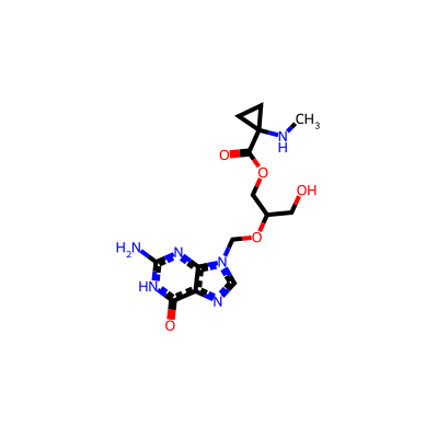 CNC1(C(=O)OCC(CO)OCn2cnc3c(=O)[nH]c(N)nc32)CC1